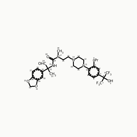 CCCc1cc(C(O)(C(F)(F)F)C(F)(F)F)ccc1N1CCN(CCN(C)C(=O)NC(C)(C=O)c2ccc3c(c2)OCO3)CC1